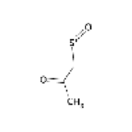 CC(=O)C[S+]=O